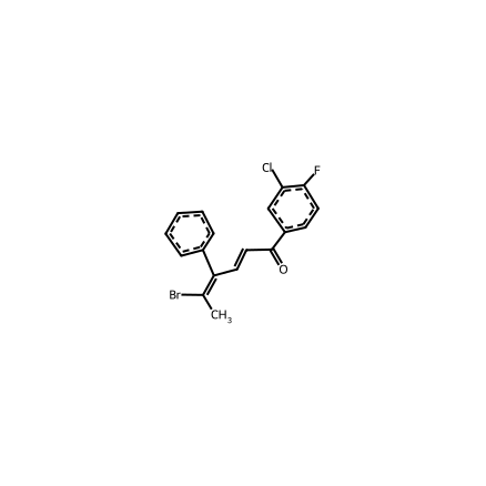 C/C(Br)=C(\C=C\C(=O)c1ccc(F)c(Cl)c1)c1ccccc1